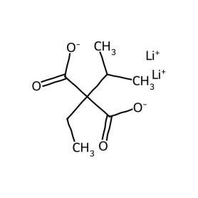 CCC(C(=O)[O-])(C(=O)[O-])C(C)C.[Li+].[Li+]